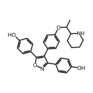 CC(Oc1ccc(-c2c(-c3ccc(O)cc3)noc2-c2ccc(O)cc2)cc1)C1CCCCN1